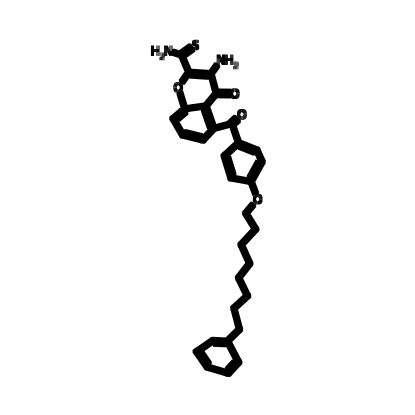 NC(=S)c1oc2cccc(C(=O)c3ccc(OCCCCCCCCc4ccccc4)cc3)c2c(=O)c1N